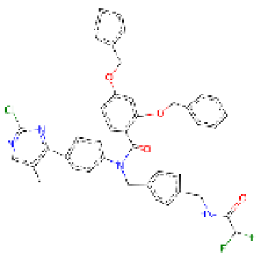 Cc1cnc(Cl)nc1-c1ccc(N(Cc2ccc(CNC(=O)C(F)F)cc2)C(=O)c2ccc(OCc3ccccc3)cc2OCc2ccccc2)cc1